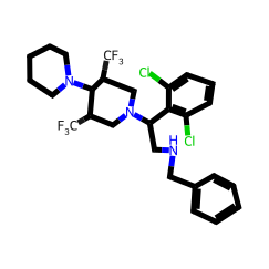 FC(F)(F)C1CN(C(CNCc2ccccc2)c2c(Cl)cccc2Cl)CC(C(F)(F)F)C1N1CCCCC1